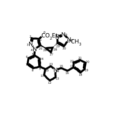 CCOC(=O)c1cnn(-c2cccc(C3CCCN(CCc4ccccc4)C3)c2)c1[C@@H]1C[C@H]1c1cn(C)nn1